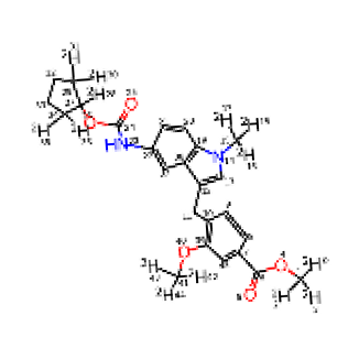 [2H]C([2H])([2H])OC(=O)c1ccc(Cc2cn(C([2H])([2H])[2H])c3ccc(NC(=O)OC4([2H])C([2H])([2H])CCC4([2H])[2H])cc23)c(OC([2H])([2H])[2H])c1